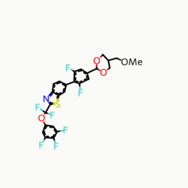 COCC1COC(c2cc(F)c(-c3ccc4nc(C(F)(F)Oc5cc(F)c(F)c(F)c5)sc4c3)c(F)c2)OC1